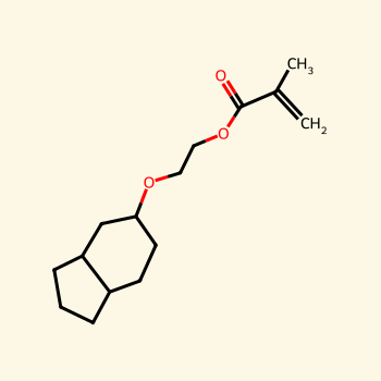 C=C(C)C(=O)OCCOC1CCC2CCCC2C1